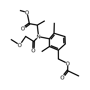 COCC(=O)N(c1c(C)ccc(COC(C)=O)c1C)C(C)C(=O)OC